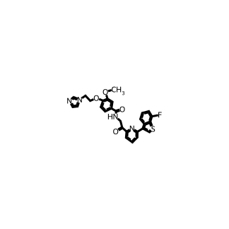 COc1cc(C(=O)NCC(=O)c2cccc(-c3csc4c(F)cccc34)n2)ccc1OCCn1ccnc1